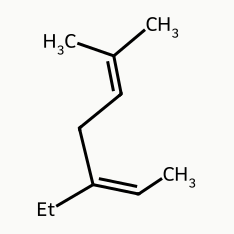 CC=C(CC)CC=C(C)C